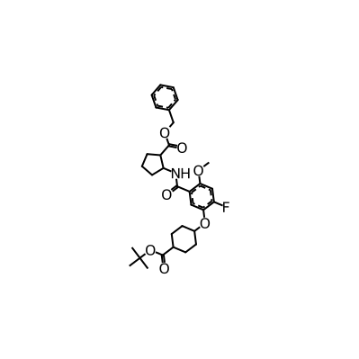 COc1cc(F)c(OC2CCC(C(=O)OC(C)(C)C)CC2)cc1C(=O)NC1CCCC1C(=O)OCc1ccccc1